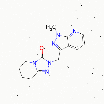 Cn1nc(Cn2nc3n(c2=O)CCCC3)c2cccnc21